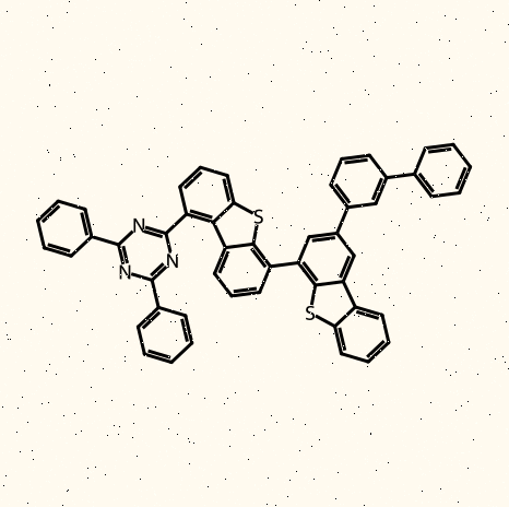 c1ccc(-c2cccc(-c3cc(-c4cccc5c4sc4cccc(-c6nc(-c7ccccc7)nc(-c7ccccc7)n6)c45)c4sc5ccccc5c4c3)c2)cc1